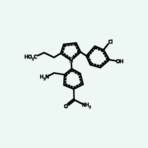 NCc1cc(C(N)=O)ccc1-n1c(CCC(=O)O)ccc1-c1ccc(O)c(Cl)c1